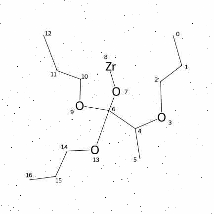 CCCOC(C)C([O][Zr])(OCCC)OCCC